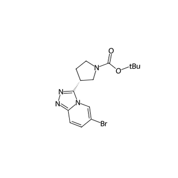 CC(C)(C)OC(=O)N1CC[C@@H](c2nnc3ccc(Br)cn23)C1